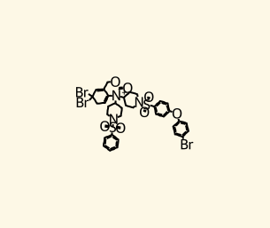 O=C1OCC2=CC(Br)(Br)CC=C2[N+]1(C1CCN(S(=O)(=O)c2ccccc2)CC1)C1CCN(S(=O)(=O)c2ccc(Oc3ccc(Br)cc3)cc2)CC1